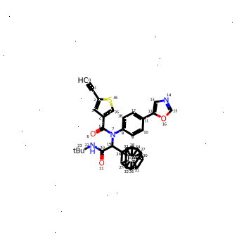 C#Cc1cc(C(=O)N(c2ccc(-c3cnco3)cc2)C(C(=O)NC(C)(C)C)[C]23[CH]4[CH]5[CH]6[CH]2[Fe]56432789[CH]3[CH]2[CH]7[CH]8[CH]39)cs1